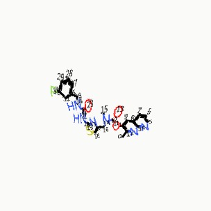 Cc1nc2ncccc2cc1OC(=O)N(C)Cc1csc(NC(=O)NCc2cccc(F)c2)n1